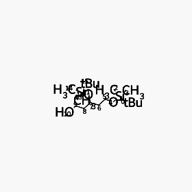 CC(C)(C)[Si](C)(C)OCCC(CCO)O[Si](C)(C)C(C)(C)C